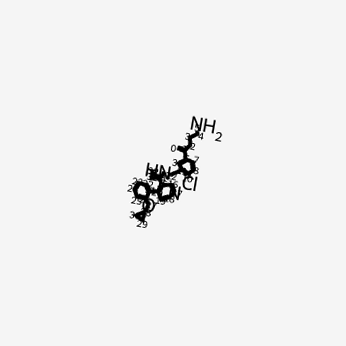 C=C(CCCN)c1ccc(Cl)c(CNC2(c3cnccc3-c3ccccc3OC3CC3)CC2)c1